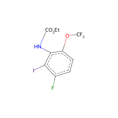 CCOC(=O)Nc1c(OC(F)(F)F)ccc(F)c1I